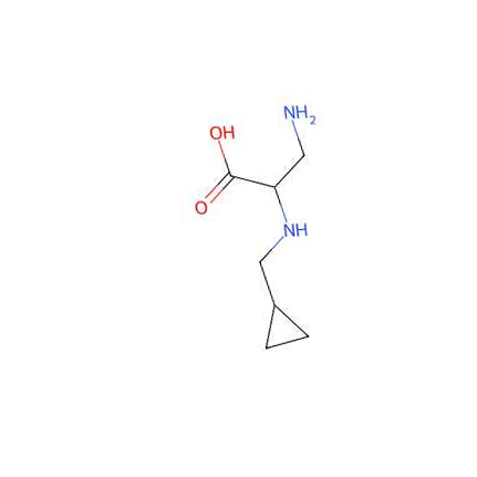 NCC(NCC1CC1)C(=O)O